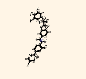 C/C(=C(/F)c1ccc(-c2ncc(C)cn2)cc1F)c1ccc2nc(C(F)(F)Oc3cc(F)c(F)c(F)c3)sc2c1